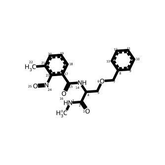 CNC(=O)C(COCc1ccccc1)NC(=O)c1cccc(C)c1N=O